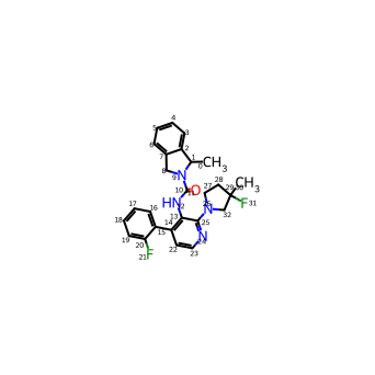 CC1c2ccccc2CN1C(=O)Nc1c(-c2ccccc2F)ccnc1N1CCC(C)(F)C1